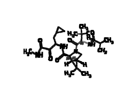 CNC(=O)C(=O)C(CC1CC1)NC(=O)[C@@H]1[C@@H]2[C@H](CN1C(=O)[C@@H](NC(=O)C(C)C)C(C)(C)C)C2(C)C